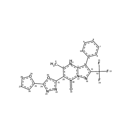 Cc1[nH]c2c(-c3ccccc3)c(C(F)(F)F)nn2c(=O)c1-c1nnc(-c2ccco2)o1